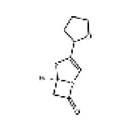 O=C1C[C@H]2SC(C3CCCO3)=CN12